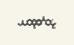 COC(=O)CC1CCc2nc3cc(C(=O)N4CCN(C(=O)O)[C@@H](C)C4)ccc3c(Cl)c2C1